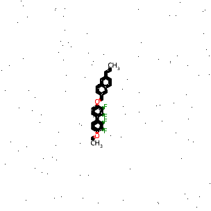 CCCC1CCC2CC(COC3=CC=C(C4=CC=C(OCC)C(F)C4F)C(F)C3F)CCC2C1